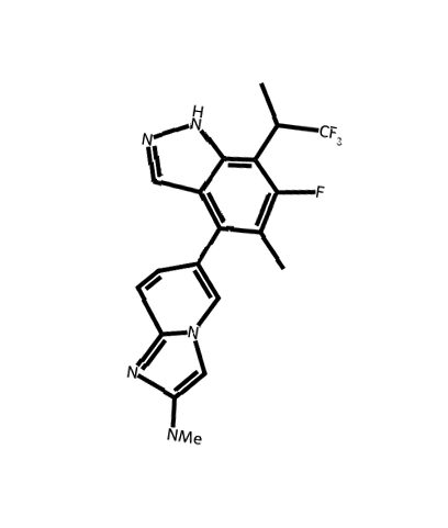 CNc1cn2cc(-c3c(C)c(F)c(C(C)C(F)(F)F)c4[nH]ncc34)ccc2n1